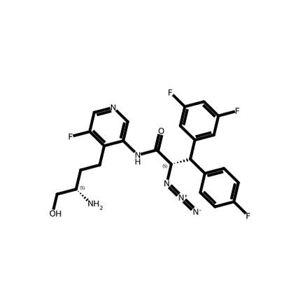 [N-]=[N+]=N[C@H](C(=O)Nc1cncc(F)c1CC[C@H](N)CO)C(c1ccc(F)cc1)c1cc(F)cc(F)c1